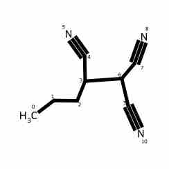 CCCC(C#N)C(C#N)C#N